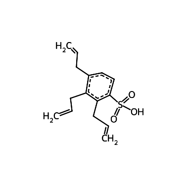 C=CCc1ccc(S(=O)(=O)O)c(CC=C)c1CC=C